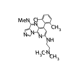 CNc1nc2c(-c3c(C)cccc3Cl)cc(NCCN(C)C)nc2n2cncc12